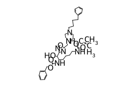 CC(C)(C)OC(=O)NCCCCC(NC(=O)OCc1ccccc1)C(O)c1noc(CN2CCN(CCCCc3ccccc3)CC2)n1